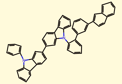 c1ccc(-n2c3ccccc3c3ccc(-c4ccc5c6ccccc6n(-c6ccccc6-c6cccc(-c7ccc8ccccc8c7)c6)c5c4)cc32)cc1